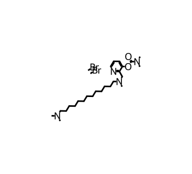 CBr.CBr.CN(C)CCCCCCCCCCCCCN(C)Cc1ncccc1OC(=O)N(C)C